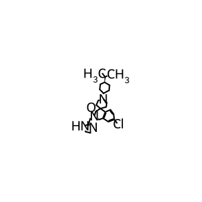 CC(C)[C@H]1CC[C@@H](N2CCC3(CC2)C(=O)N(CC2=NCCN2)Cc2cc(Cl)ccc23)CC1